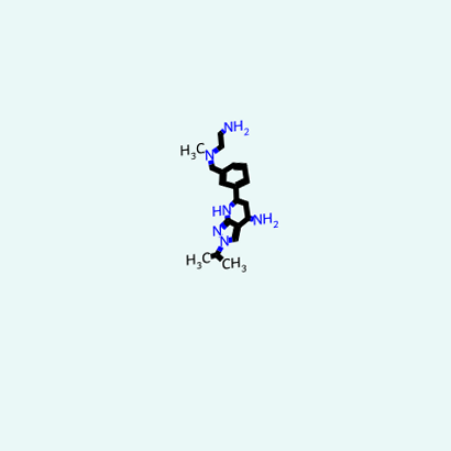 CC(C)n1cc2c(n1)NC(c1cccc(CN(C)CCN)c1)CC2N